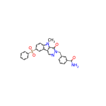 Cn1c2ccc(S(=O)(=O)c3ccccc3)cc2c2cnn(Cc3cccc(C(N)=O)c3)c(=O)c21